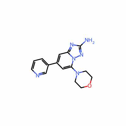 Nc1nc2cc(-c3cccnc3)cc(N3CCOCC3)n2n1